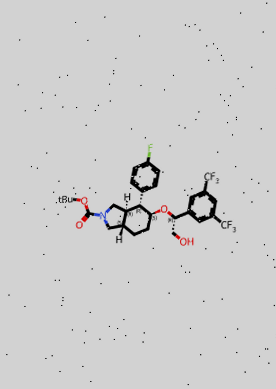 CC(C)(C)OC(=O)N1C[C@H]2CC[C@H](O[C@@H](CO)c3cc(C(F)(F)F)cc(C(F)(F)F)c3)[C@@H](c3ccc(F)cc3)[C@@H]2C1